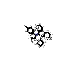 Cc1ccc(/C(CP(C)C)=C(/B(c2ccccn2)c2ccccn2)c2ccccn2)cc1